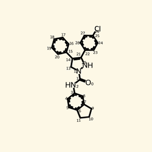 O=C(Nc1ccc2c(c1)CCC2)N1CC(c2ccccc2)=C(c2ccc(Cl)cc2)N1